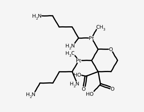 [CH3][Pt]([CH](N)CCCN)[CH]1OCCC(C(=O)O)(C(=O)O)[CH]1[Pt]([CH3])[CH](N)CCCN